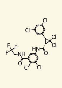 O=C(NCC(F)(F)F)c1cc(NC(=O)[C@@H]2[C@@H](c3cc(Cl)cc(Cl)c3)C2(Cl)Cl)cc(Cl)c1Cl